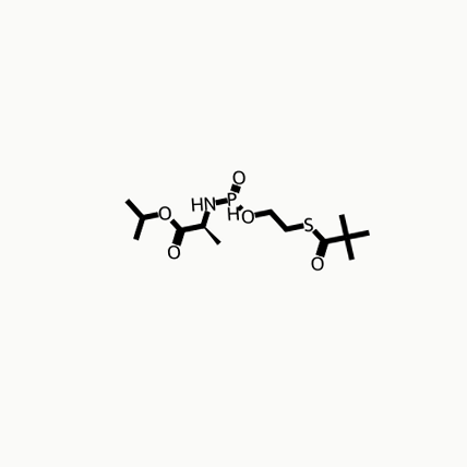 CC(C)OC(=O)[C@H](C)N[PH](=O)OCCSC(=O)C(C)(C)C